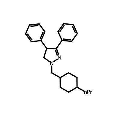 CCCC1CCC(CN2CC(c3ccccc3)C(c3ccccc3)=N2)CC1